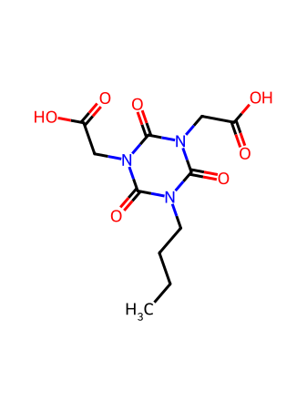 CCCCn1c(=O)n(CC(=O)O)c(=O)n(CC(=O)O)c1=O